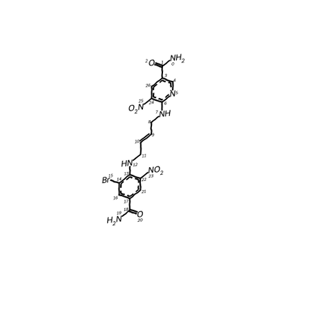 NC(=O)c1cnc(NCC=CCNc2c(Br)cc(C(N)=O)cc2[N+](=O)[O-])c([N+](=O)[O-])c1